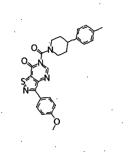 COc1ccc(-c2nsc3c(=O)n(C(=O)N4CCC(c5ccc(C)cc5)CC4)cnc23)cc1